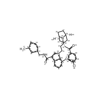 COc1cccc2c(C(=O)NCc3cccc(C)c3)cn(CCCN3[C@@H]4CC[C@H]3C[C@H](CC(=O)c3ccc(Cl)cc3)C4)c12